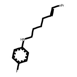 CCCC=CCCCCNc1ccc(F)cc1